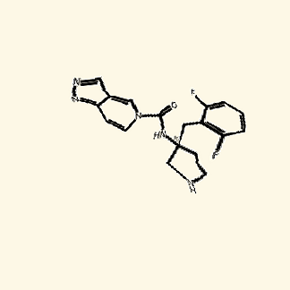 O=C(N[C@]1(Cc2c(F)cccc2F)CCNC1)n1ccc2nncc-2c1